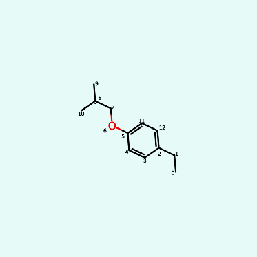 CCc1ccc(OC[C](C)C)cc1